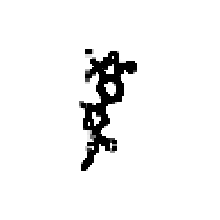 CCOC(=O)[C@@H]1CN(c2ccc([N+](=O)[O-])c(C(F)(F)F)c2)[C@@H](C)O1